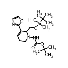 CC(C)(C)OC(=O)NN1CCC=C(c2ncco2)[C@H]1CO[Si](C)(C)C(C)(C)C